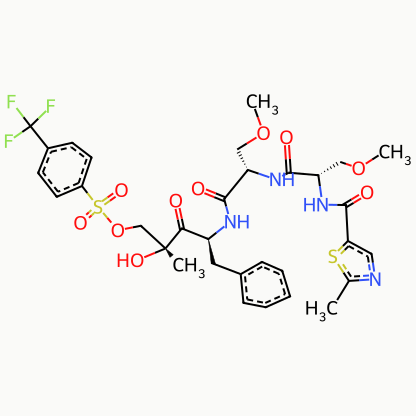 COC[C@H](NC(=O)c1cnc(C)s1)C(=O)N[C@@H](COC)C(=O)N[C@@H](Cc1ccccc1)C(=O)[C@](C)(O)COS(=O)(=O)c1ccc(C(F)(F)F)cc1